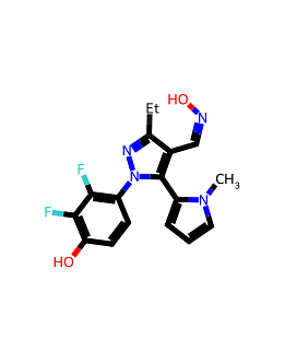 CCc1nn(-c2ccc(O)c(F)c2F)c(-c2cccn2C)c1/C=N\O